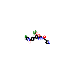 O=C(CCc1cccnc1)NCc1cc2cc(-c3ccc(C(=O)N4CCC(F)(F)CC4)cc3)cc(OC(F)(F)F)c2o1